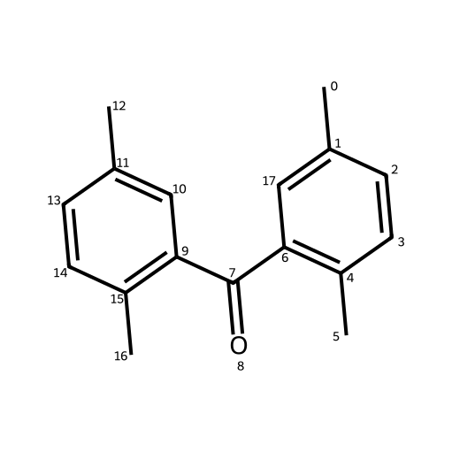 Cc1ccc(C)c(C(=O)c2cc(C)ccc2C)c1